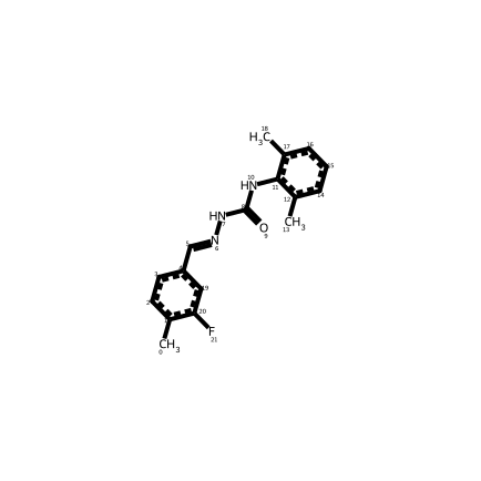 Cc1ccc(/C=N/NC(=O)Nc2c(C)cccc2C)cc1F